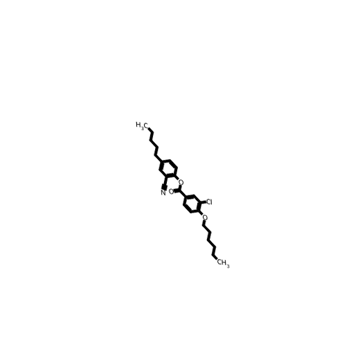 CCCCCCOc1ccc(C(=O)Oc2ccc(CCCCC)cc2C#N)cc1Cl